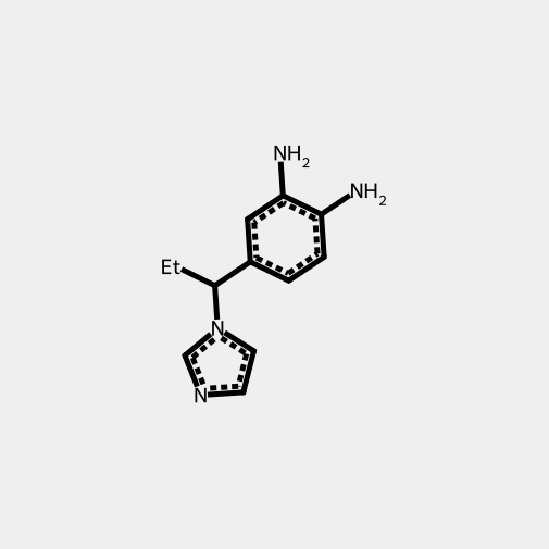 CCC(c1ccc(N)c(N)c1)n1ccnc1